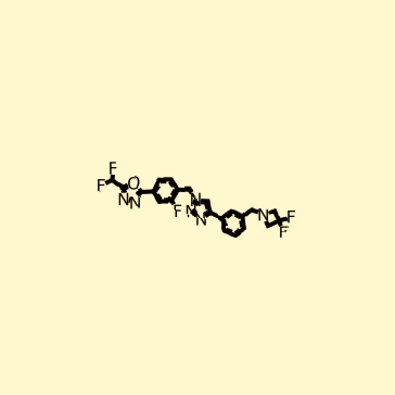 Fc1cc(-c2nnc(C(F)F)o2)ccc1Cn1cc(-c2cccc(CN3CC(F)(F)C3)c2)nn1